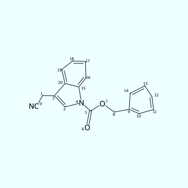 N#CCc1cn(C(=O)OCc2ccccc2)c2ccccc12